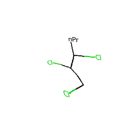 CCCC(Cl)C(Cl)CCl